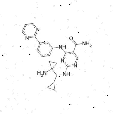 NC(=O)c1cnc(N[C@H](C2CC2)C2(N)CC2)nc1Nc1cccc(-c2ncccn2)c1